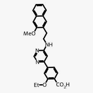 CCOc1cc(-c2cc(NCCc3cc4ccccc4cc3OC)ncn2)ccc1C(=O)O